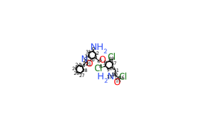 Nc1cc(COc2c(Cl)cc(C[C@H](N)C(=O)Cl)cc2Cl)c2oc(-c3ccccc3)nc2c1